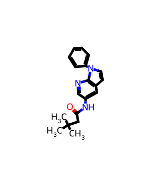 CC(C)(C)CC(=O)Nc1cnc2c(ccn2-c2ccccc2)c1